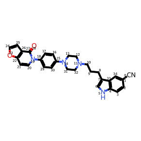 N#Cc1ccc2[nH]cc(CCCN3CCN(c4ccc(-n5ccc6occc6c5=O)cc4)CC3)c2c1